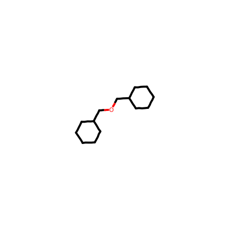 C1CCC(COCC2CCCCC2)CC1